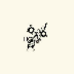 CCOc1ccccc1OC(c1ccccc1)C1CN(P(=O)(O)OC(C)CC)CCO1